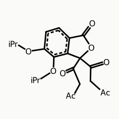 CC(=O)CC(=O)C1(C(=O)CC(C)=O)OC(=O)c2ccc(OC(C)C)c(OC(C)C)c21